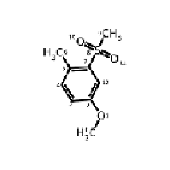 COc1ccc(C)c(S(C)(=O)=O)c1